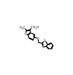 Cc1oc2ccc(OCc3nc4ccccc4s3)cc2c1C(=O)O